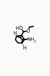 CCOC(O)C1C(N)[C@H]2CC[C@@H]1CC2